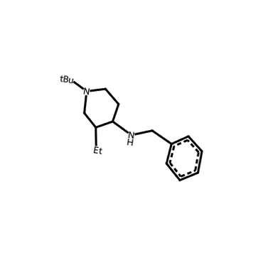 CCC1CN(C(C)(C)C)CCC1NCc1ccccc1